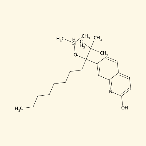 CCCCCCCCC(O[SiH](C)C)(c1ccc2ccc(O)nc2c1)C(C)(C)C